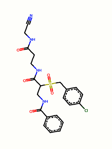 N#CCNC(=O)CCNC(=O)C(CNC(=O)c1ccccc1)S(=O)(=O)Cc1ccc(Cl)cc1